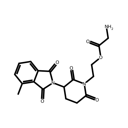 Cc1cccc2c1C(=O)N(C1CCC(=O)N(CCOC(=O)CN)C1=O)C2=O